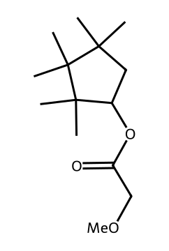 COCC(=O)OC1CC(C)(C)C(C)(C)C1(C)C